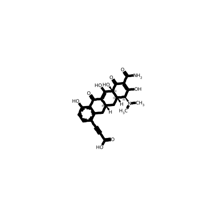 CN(C)[C@@H]1C(O)=C(C(N)=O)C(=O)[C@@]2(O)C(O)=C3C(=O)c4c(O)ccc(C#CC(=O)O)c4C[C@H]3C[C@@H]12